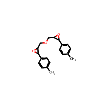 Cc1ccc(C2OC2COCC2OC2c2ccc(C)cc2)cc1